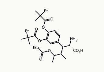 CCC(C)(C)C(=O)Oc1ccc(C(C(C)C(C)OC(=O)C(C)(C)C)[C@H](N)C(=O)O)cc1OC(=O)C(C)(C)CC